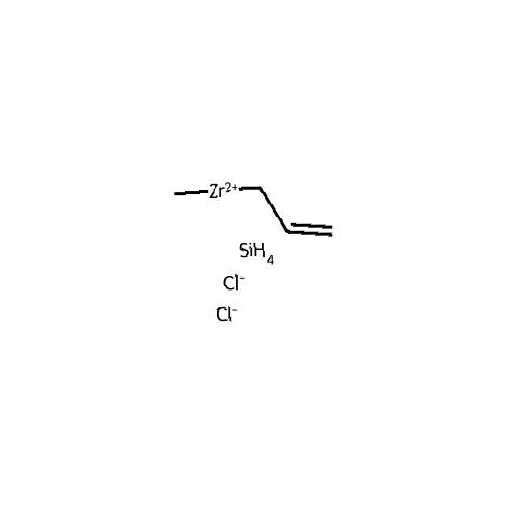 C=C[CH2][Zr+2][CH3].[Cl-].[Cl-].[SiH4]